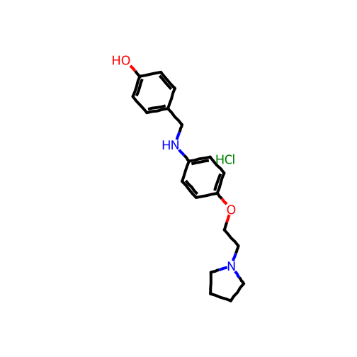 Cl.Oc1ccc(CNc2ccc(OCCN3CCCC3)cc2)cc1